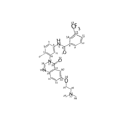 Cc1ccc(NC(=O)c2cccc(C(F)(F)F)c2)cc1-n1cnc2ccc(OCCN(C)C)cc2c1=O